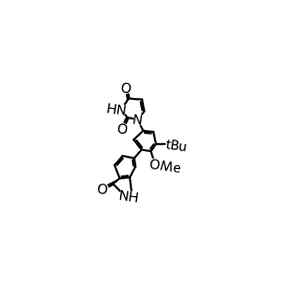 COc1c(-c2ccc3c(c2)CNC3=O)cc(-n2ccc(=O)[nH]c2=O)cc1C(C)(C)C